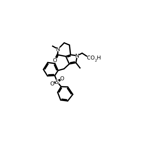 Cc1c(Cc2ccccc2S(=O)(=O)c2ccccc2)c2c(n1CC(=O)O)CCN(C)C2=O